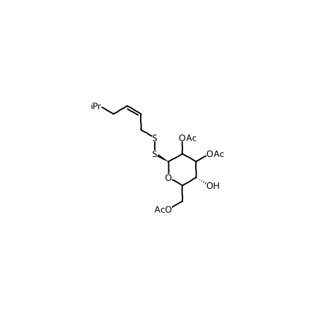 CC(=O)OCC1O[C@@H](SSC/C=C\CC(C)C)C(OC(C)=O)C(OC(C)=O)[C@@H]1O